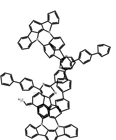 C/C=C(\C=C/Cc1ccc(-n2c3ccccc3c3ccc4c5ccccc5n(-c5ccc(-c6nc(-c7ccccc7)nc(-c7ccc(-c8ccccc8)cc7)n6)cc5)c4c32)cc1)c1cccc(-c2cccc(-c3ccc(-c4nc(-c5ccc(-c6ccccc6)cc5)nc(-c5ccc(-n6c7ccccc7c7ccc8c9ccccc9n(-c9ccc(-c%10ccccc%10)cc9)c8c76)cc5)n4)cc3)c2)c1